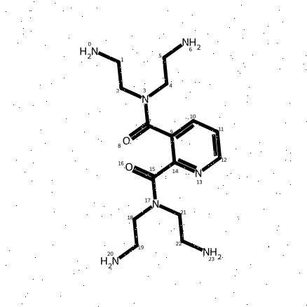 NCCN(CCN)C(=O)c1cccnc1C(=O)N(CCN)CCN